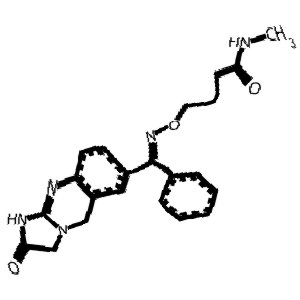 CNC(=O)CCCON=C(c1ccccc1)c1ccc2c(c1)CN1CC(=O)NC1=N2